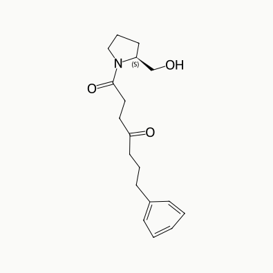 O=C(CCCc1ccccc1)CCC(=O)N1CCC[C@H]1CO